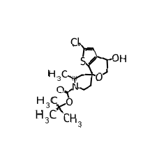 C[C@H]1CC2(CCN1C(=O)OC(C)(C)C)OCC(O)c1cc(Cl)sc12